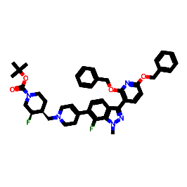 Cn1nc(-c2ccc(OCc3ccccc3)nc2OCc2ccccc2)c2ccc(C3=CCN(C[C@@H]4CCN(C(=O)OC(C)(C)C)C[C@@H]4F)CC3)c(F)c21